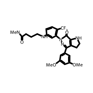 CNC(=O)CCCNc1ccc(C(F)(F)F)c(-n2nc(-c3cc(OC)cc(OC)c3)c3c(c2=O)NCC3)c1